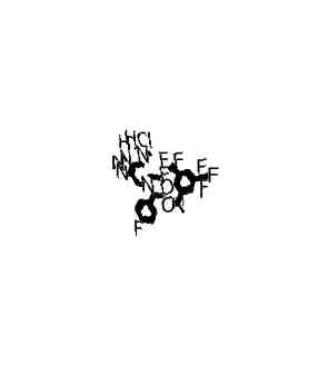 C[C@@H](OC1OCCN(Cc2nn[nH]c2CN(C)C)C1c1ccc(F)cc1)c1cc(C(F)(F)F)cc(C(F)(F)F)c1.Cl